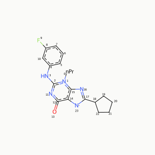 CCCn1c(Nc2cccc(F)c2)nc(=O)c2c1N=C(C1CCCC1)[N]2